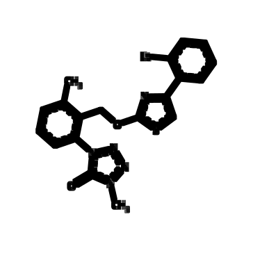 CCc1ccccc1-c1csc(OCc2c(C)cccc2-n2nnn(C)c2=O)n1